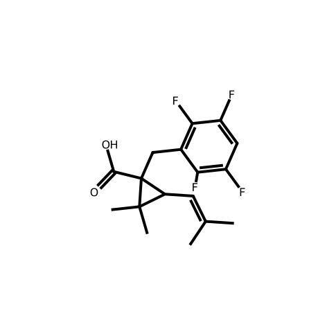 CC(C)=CC1C(C)(C)C1(Cc1c(F)c(F)cc(F)c1F)C(=O)O